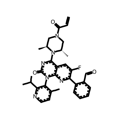 C=CC(=O)N1C[C@H](C)N(c2nc(=O)n(-c3c(C)ccnc3C(C)C)c3nc(-c4ccccc4C=O)c(F)cc23)[C@@H](C)C1